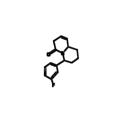 O=C1CC=CC2CCCC(c3cccc(F)c3)N12